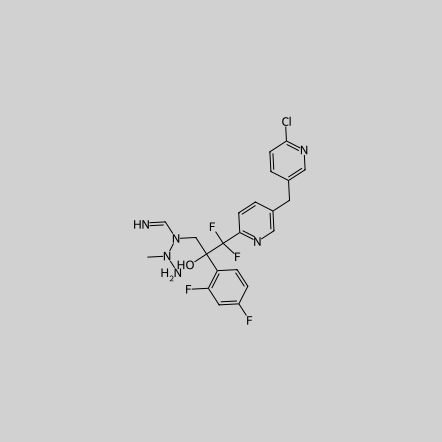 CN(N)N(C=N)CC(O)(c1ccc(F)cc1F)C(F)(F)c1ccc(Cc2ccc(Cl)nc2)cn1